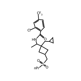 CCCS(=O)(=O)CC1CC(CC2CC2)(C(C)NC(=O)c2ccc(C(F)(F)F)cc2Cl)C1